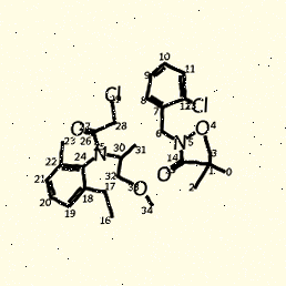 CC1(C)CON(Cc2ccccc2Cl)C1=O.CCc1cccc(C)c1N(C(=O)CCl)C(C)COC